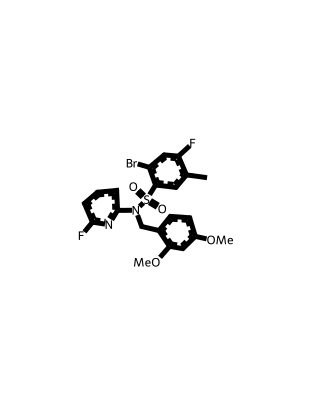 COc1ccc(CN(c2cccc(F)n2)S(=O)(=O)c2cc(C)c(F)cc2Br)c(OC)c1